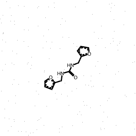 O=C(NCc1ccco1)NCc1ccco1